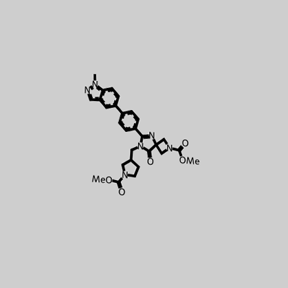 COC(=O)N1CCC(CN2C(=O)C3(CN(C(=O)OC)C3)N=C2c2ccc(-c3ccc4c(cnn4C)c3)cc2)C1